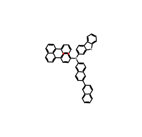 c1ccc(-c2cccc3cccc(-c4ccc(N(c5ccc6cc(-c7ccc8ccccc8c7)ccc6c5)c5ccc6c(c5)sc5ccccc56)cc4)c23)cc1